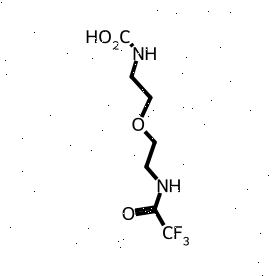 O=C(O)NCCOCCNC(=O)C(F)(F)F